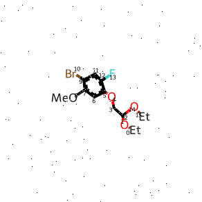 CCOC(COc1cc(OC)c(Br)cc1F)OCC